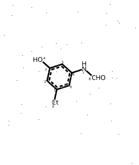 CCc1cc(O)cc(NC=O)c1